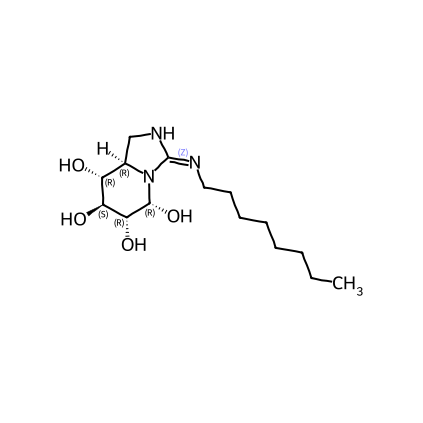 CCCCCCCC/N=C1/NC[C@@H]2[C@@H](O)[C@H](O)[C@@H](O)[C@@H](O)N12